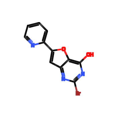 Oc1nc(Br)nc2cc(-c3ccccn3)oc12